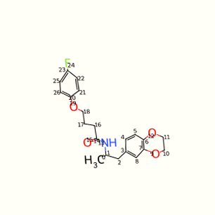 CC(Cc1ccc2c(c1)OCCO2)NC(=O)CCCOc1ccc(F)cc1